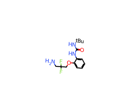 CC(C)(C)NC(=O)Nc1ccccc1OCC(F)(F)CN